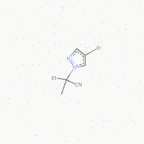 CCC(C)(C#N)n1cc(Br)cn1